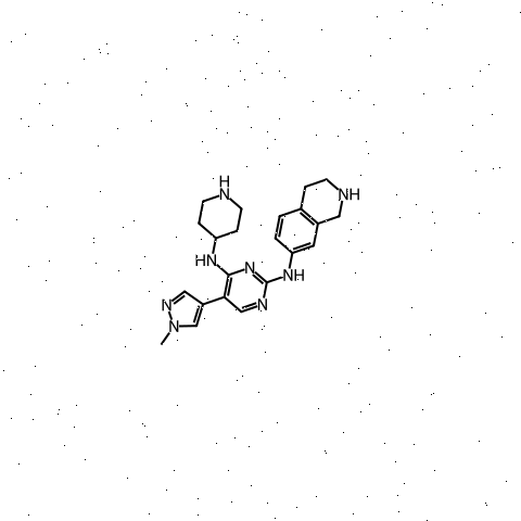 Cn1cc(-c2cnc(Nc3ccc4c(c3)CNCC4)nc2NC2CCNCC2)cn1